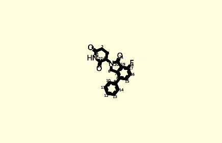 O=C1CCC(N2Cc3c(-c4ccccc4)ccc(F)c3C2=O)C(=O)N1